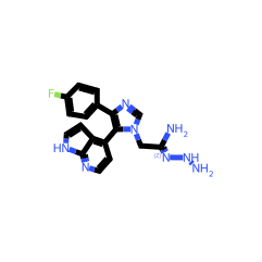 NN/N=C(\N)Cn1cnc(-c2ccc(F)cc2)c1-c1ccnc2[nH]ccc12